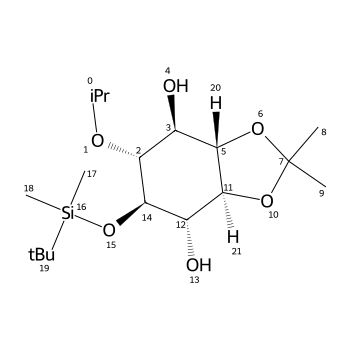 CC(C)O[C@@H]1[C@@H](O)[C@@H]2OC(C)(C)O[C@H]2[C@H](O)[C@H]1O[Si](C)(C)C(C)(C)C